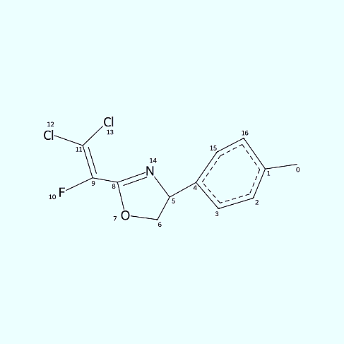 Cc1ccc(C2COC(C(F)=C(Cl)Cl)=N2)cc1